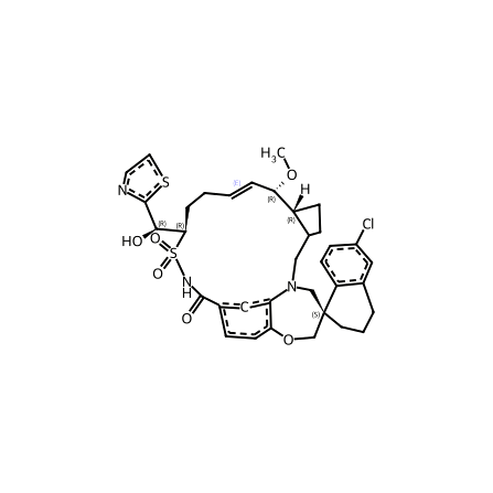 CO[C@H]1/C=C/CC[C@H]([C@@H](O)c2nccs2)S(=O)(=O)NC(=O)c2ccc3c(c2)N(CC2CC[C@H]21)C[C@@]1(CCCc2cc(Cl)ccc21)CO3